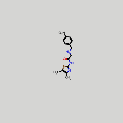 Cc1nc(NC(=O)CNCc2ccc([N+](=O)[O-])cc2)sc1C